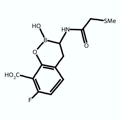 CSCC(=O)NC1Cc2ccc(F)c(C(=O)O)c2OB1O